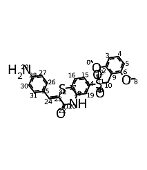 COc1cccc(OC)c1CS(=O)(=O)c1ccc2c(c1)NC(=O)/C(=C/c1ccc(N)cc1)S2